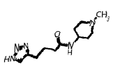 CN1CCC(NC(=O)CCCc2c[nH]nn2)CC1